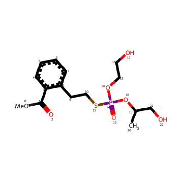 COC(=O)c1ccccc1CCSP(=O)(OCCO)OC(C)CO